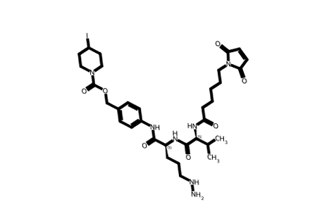 CC(C)[C@H](NC(=O)CCCCCN1C(=O)C=CC1=O)C(=O)N[C@@H](CCCNN)C(=O)Nc1ccc(COC(=O)N2CCC(I)CC2)cc1